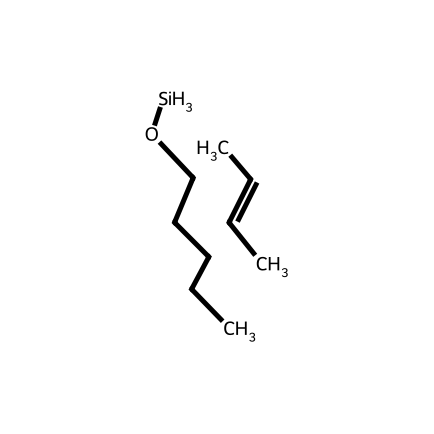 CC=CC.CCCCCO[SiH3]